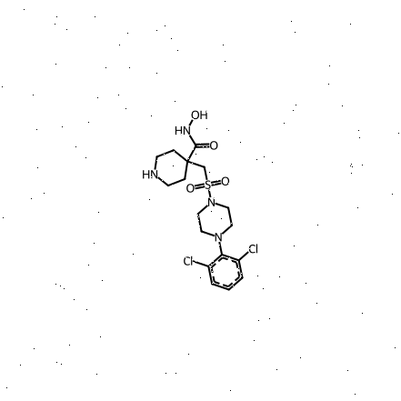 O=C(NO)C1(CS(=O)(=O)N2CCN(c3c(Cl)cccc3Cl)CC2)CCNCC1